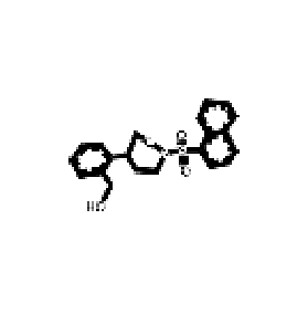 O=S(=O)(c1cccc2ccccc12)N1CCC(c2ccccc2CO)CC1